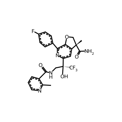 Cc1ncccc1C(=O)NC[C@](O)(c1cc2c(c(-c3ccc(F)cc3)n1)OC[C@]2(C)C(N)=O)C(F)(F)F